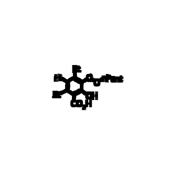 CCCCCOOc1c(O)c(C(=O)O)c(CC)c(CC)c1CC